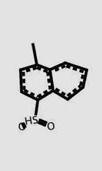 Cc1ccc([SH](=O)=O)c2ccccc12